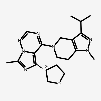 Cc1nc([C@@H]2CCOC2)c2c(N3CCc4c(c(C(C)C)nn4C)C3)ncnn12